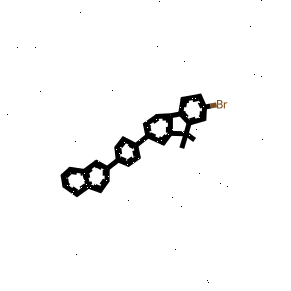 CC1(C)c2cc(Br)ccc2-c2ccc(-c3ccc(-c4ccc5ccccc5c4)cc3)cc21